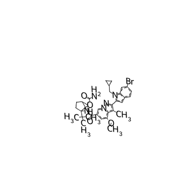 COc1cc(C(=O)N2CC3CCC2(C(C)(C)C)[C@@H]3OC(N)=O)cn2nc(-c3cc4ccc(Br)cc4n3CC3CC3)c(C)c12